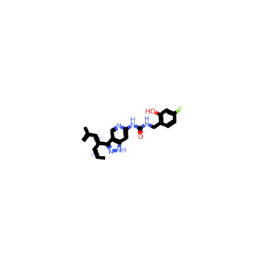 C=C(C)/C=C(\C=C/C)c1n[nH]c2cc(NC(=O)NCc3ccc(F)cc3O)ncc12